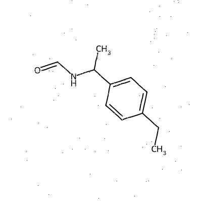 CCc1ccc(C(C)NC=O)cc1